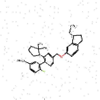 COc1ccc(F)c(-c2ccc(COc3ccc4c(c3)[C@H](CC(=O)O)CC4)cc2[C@H]2CCCC2(C)C)c1